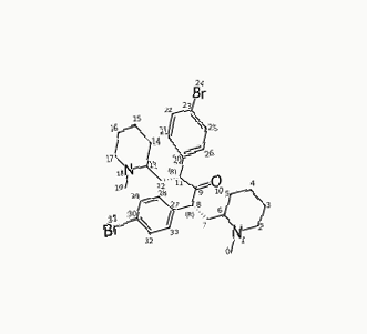 CN1CCCCC1C[C@@H](C(=O)[C@H](CC1CCCCN1C)c1ccc(Br)cc1)c1ccc(Br)cc1